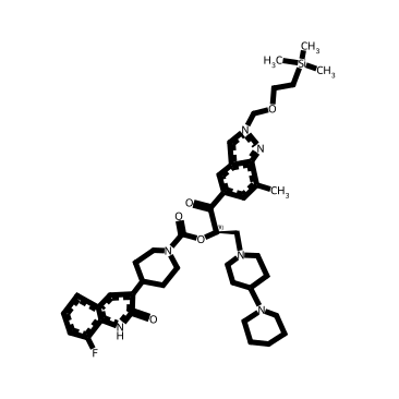 Cc1cc(C(=O)[C@@H](CN2CCC(N3CCCCC3)CC2)OC(=O)N2CCC(c3cc4cccc(F)c4[nH]c3=O)CC2)cc2cn(COCC[Si](C)(C)C)nc12